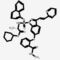 CNC(=O)c1ccccc1Sc1ccc2c(/C=C/c3ccccn3)nn(P(=O)(N[C@@H](C)C(=O)OC3CCCCC3)Oc3cccc4ccccc34)c2c1